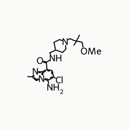 COCC(C)(C)CN1CCC(CNC(=O)c2cc(Cl)c(N)n3cc(C)nc23)CC1